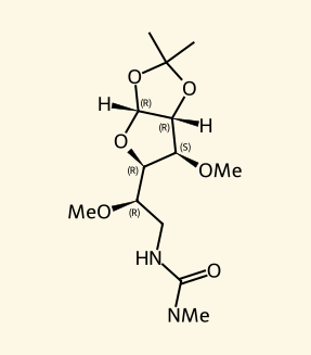 CNC(=O)NC[C@@H](OC)[C@H]1O[C@@H]2OC(C)(C)O[C@@H]2[C@H]1OC